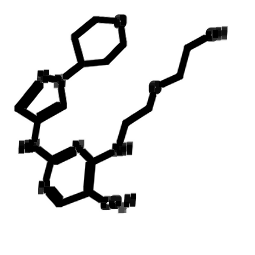 O=C(O)c1cnc(Nc2cnn(C3CCOCC3)c2)nc1NCCOCCO